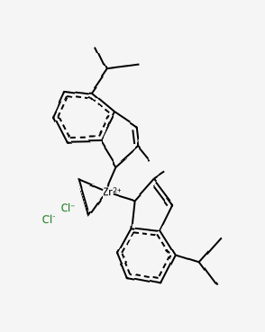 CC1=Cc2c(C(C)C)cccc2[CH]1[Zr+2]1([CH]2C(C)=Cc3c(C(C)C)cccc32)[CH2][CH2]1.[Cl-].[Cl-]